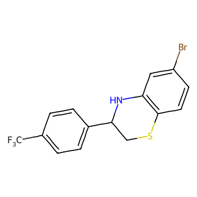 FC(F)(F)c1ccc(C2CSc3ccc(Br)cc3N2)cc1